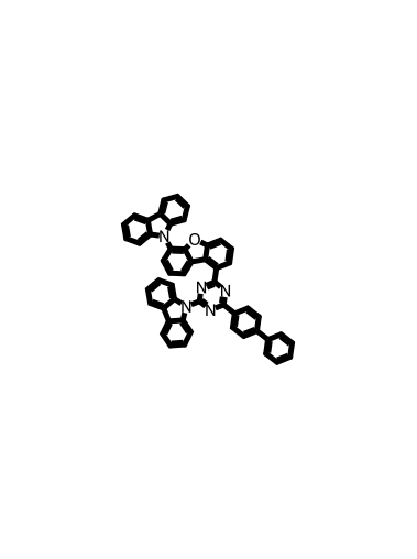 c1ccc(-c2ccc(-c3nc(-c4cccc5oc6c(-n7c8ccccc8c8ccccc87)cccc6c45)nc(-n4c5ccccc5c5ccccc54)n3)cc2)cc1